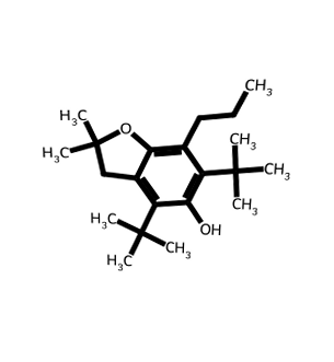 CCCc1c2c(c(C(C)(C)C)c(O)c1C(C)(C)C)CC(C)(C)O2